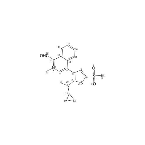 CCS(=O)(=O)c1cc(-c2c[n+](C)c(C=O)c3ccccc23)c(N(C)C2CC2)s1